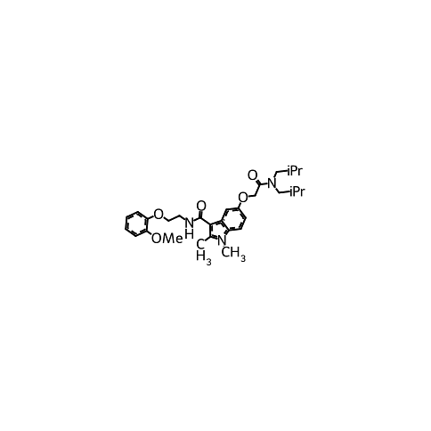 COc1ccccc1OCCNC(=O)c1c(C)n(C)c2ccc(OCC(=O)N(CC(C)C)CC(C)C)cc12